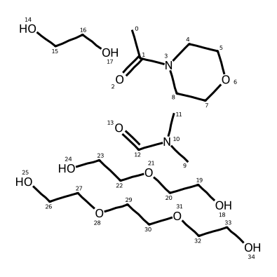 CC(=O)N1CCOCC1.CN(C)C=O.OCCO.OCCOCCO.OCCOCCOCCO